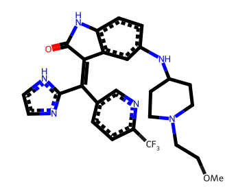 COCCN1CCC(Nc2ccc3c(c2)/C(=C(\c2ccc(C(F)(F)F)nc2)c2ncc[nH]2)C(=O)N3)CC1